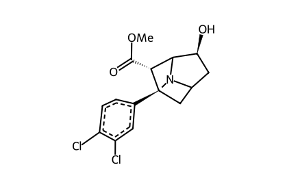 COC(=O)[C@@H]1C2[C@@H](O)CC(C[C@H]1c1ccc(Cl)c(Cl)c1)N2C